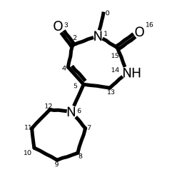 CN1C(=O)C=C(N2CCCCCC2)CNC1=O